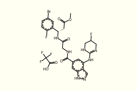 COC(=O)C[C@H](NC(=O)CNC(=O)c1cc(NC2=NCC(F)CN2)c2cn[nH]c2c1)c1cc(Br)ccc1F.O=C(O)C(F)(F)F